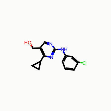 OCc1cnc(Nc2cccc(Cl)c2)nc1C1CC1